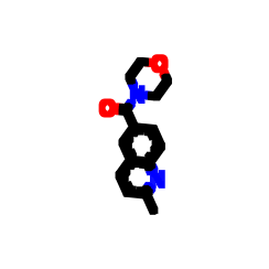 Cc1ccc2cc(C(=O)N3CCOCC3)ccc2n1